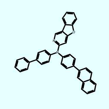 c1ccc(-c2ccc(N(c3ccc(-c4ccc5ccccc5c4)cc3)c3cc4oc5ccccc5c4cn3)cc2)cc1